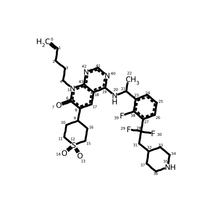 C=CCCCn1c(=O)c(C2CCS(=O)(=O)CC2)cc2c(NC(C)c3cccc(C(F)(F)CC4CCNCC4)c3F)ncnc21